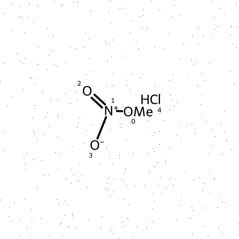 CO[N+](=O)[O-].Cl